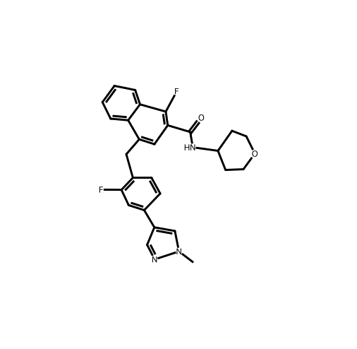 Cn1cc(-c2ccc(Cc3cc(C(=O)NC4CCOCC4)c(F)c4ccccc34)c(F)c2)cn1